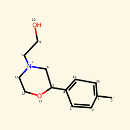 [CH2]c1ccc(C2CN(CCO)CCO2)cc1